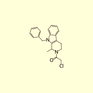 CC1c2c(c3ccccc3n2Cc2ccccc2)CCN1C(=O)CCl